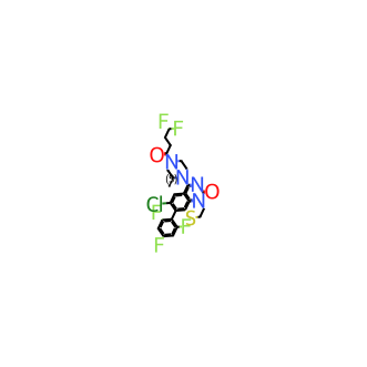 C[C@H]1CN(C(=O)CCC(F)F)CCN1c1nc(=O)n2c3c(c(-c4c(F)cc(F)cc4F)c(Cl)cc13)SCC2